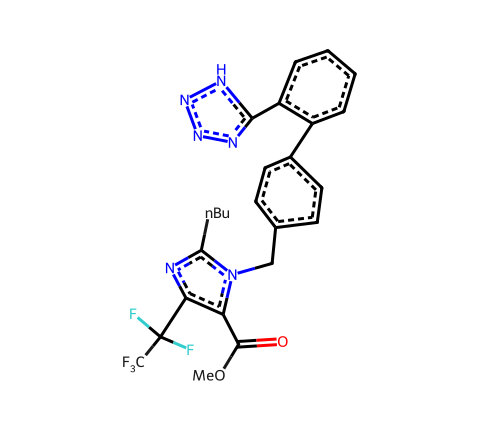 CCCCc1nc(C(F)(F)C(F)(F)F)c(C(=O)OC)n1Cc1ccc(-c2ccccc2-c2nnn[nH]2)cc1